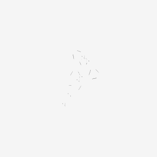 CC1CCCC(n2nc(-c3c(-c4ccccc4)nn4ccccc34)ccc2=O)=C1C(=O)N1CCNCC1